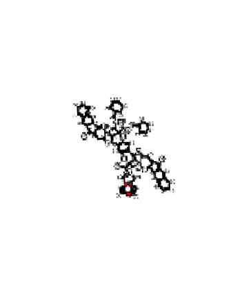 O=C1C(=Cc2nc3c(s2)-c2cc4c(cc2OC3(C(=O)OCc2ccccc2)C(=O)OCc2ccccc2)-c2sc(C=C3C(=O)c5cc6ccccc6cc5C3=O)nc2C(C(=O)OCc2ccccc2)(C(=O)OCc2ccccc2)O4)C(=O)c2cc3ccccc3cc21